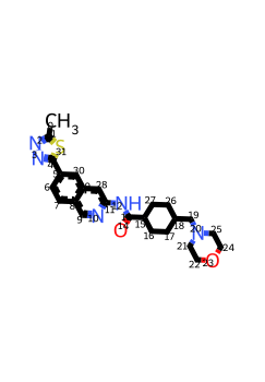 Cc1nnc(-c2ccc3cnc(NC(=O)C4CCC(CN5CCOCC5)CC4)cc3c2)s1